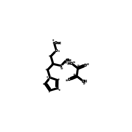 CCCCCCCCCCOCC(Cn1ccnc1)SC(C)(C)C.O=C(O)C(=O)O